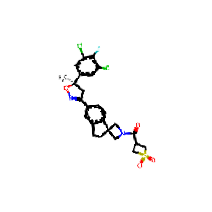 O=C(C1CS(=O)(=O)C1)N1CC2(CCc3cc(C4=NO[C@](c5cc(Cl)c(F)c(Cl)c5)(C(F)(F)F)C4)ccc32)C1